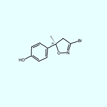 C[C@]1(c2ccc(O)cc2)CC(Br)=NO1